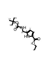 CCOC(=O)c1ccc(CNC(=O)OC(C)(C)C)[nH]1